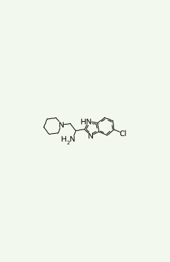 NC(CN1CCCCC1)c1nc2cc(Cl)ccc2[nH]1